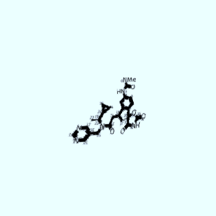 CNC(=O)Nc1ccc2c(c1)C(CC(=O)N(Cc1cncnc1)[C@@H](C)C1CC1)C[C@@]21OC(=O)NC1=O